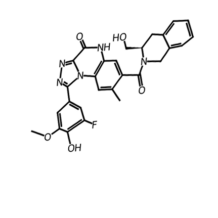 COc1cc(-c2nnc3c(=O)[nH]c4cc(C(=O)N5Cc6ccccc6C[C@@H]5CO)c(C)cc4n23)cc(F)c1O